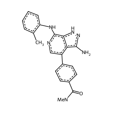 CNC(=O)c1ccc(-c2cnc(Nc3ccccc3C)c3[nH]nc(N)c23)cc1